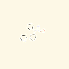 O=CNC(c1ccccc1)c1ccccc1.c1ccncc1